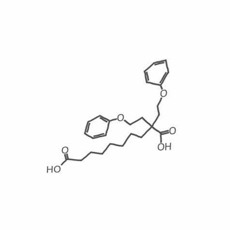 O=C(O)CCCCCCCC(CCOc1ccccc1)(CCOc1ccccc1)C(=O)O